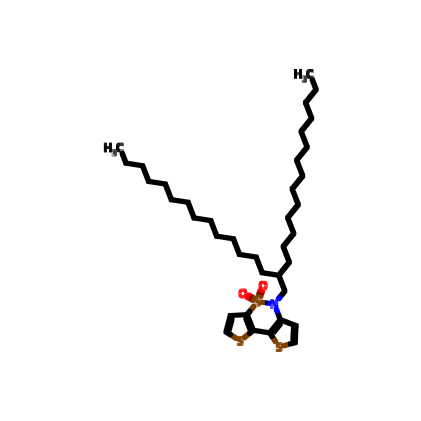 CCCCCCCCCCCCCCC(CCCCCCCCCCCCCC)CN1c2ccsc2-c2sccc2S1(=O)=O